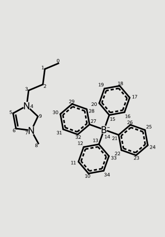 CCCCN1C=CN(C)C1.c1ccc([B-](c2ccccc2)(c2ccccc2)c2ccccc2)cc1